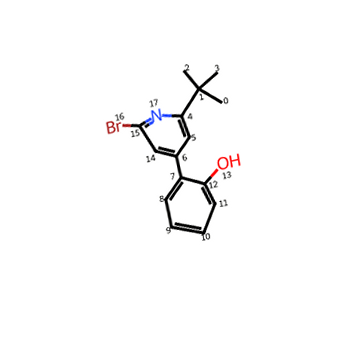 CC(C)(C)c1cc(-c2ccccc2O)cc(Br)n1